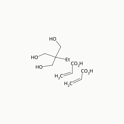 C=CC(=O)O.C=CC(=O)O.CCC(CO)(CO)CO